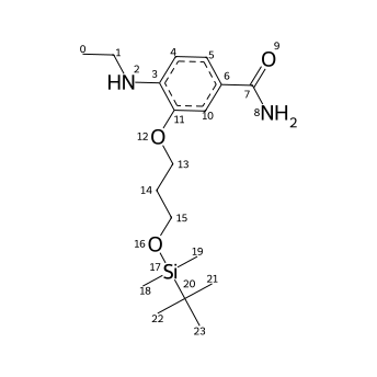 CCNc1ccc(C(N)=O)cc1OCCCO[Si](C)(C)C(C)(C)C